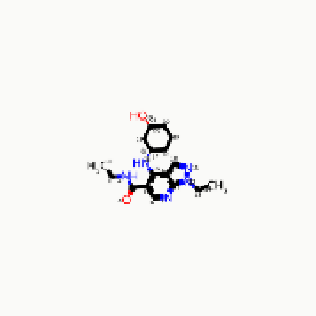 CCNC(=O)c1cnc2c(cnn2CC)c1N[C@H]1CCC[C@H](O)C1